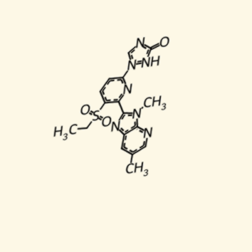 CCS(=O)(=O)c1ccc(-n2cnc(=O)[nH]2)nc1-c1nc2cc(C)cnc2n1C